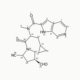 CN(C(=O)c1cc2ccncc2[nH]1)C(CC1CC1)C(=O)N1C[C@@H](C=O)CC1C#N